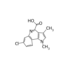 Cc1cn(C)c2c1c(C(=O)O)nc1cc(Cl)ccc12